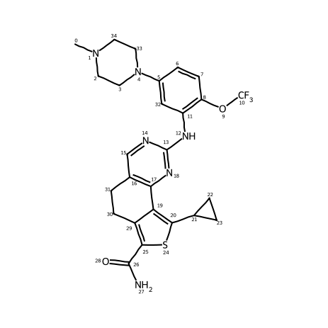 CN1CCN(c2ccc(OC(F)(F)F)c(Nc3ncc4c(n3)-c3c(C5CC5)sc(C(N)=O)c3CC4)c2)CC1